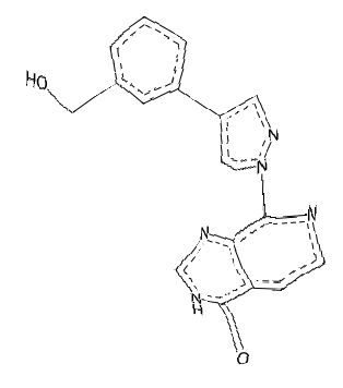 O=c1[nH]cnc2c(-n3cc(-c4cccc(CO)c4)cn3)nccc12